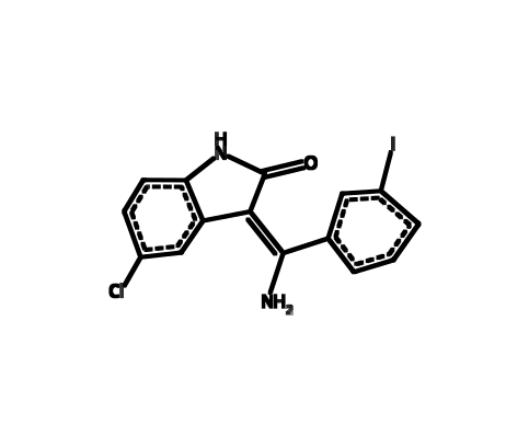 NC(=C1C(=O)Nc2ccc(Cl)cc21)c1cccc(I)c1